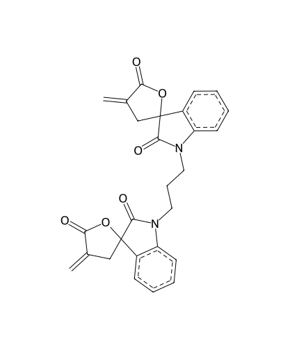 C=C1CC2(OC1=O)C(=O)N(CCCN1C(=O)C3(CC(=C)C(=O)O3)c3ccccc31)c1ccccc12